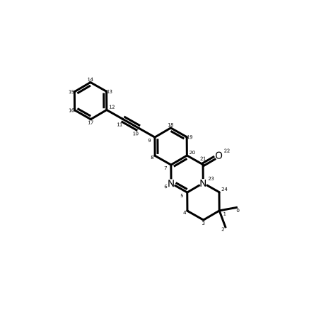 CC1(C)CCc2nc3cc(C#Cc4ccccc4)ccc3c(=O)n2C1